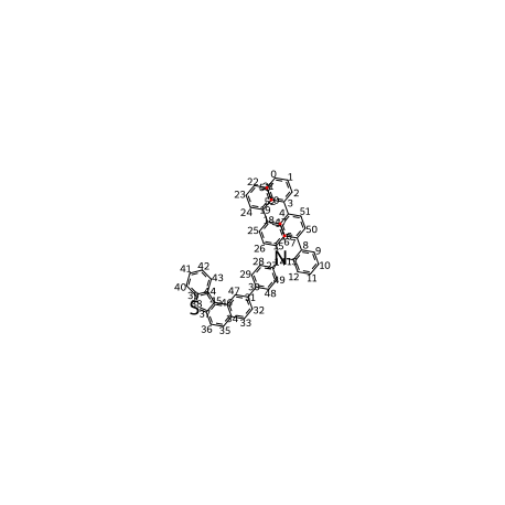 c1ccc(-c2ccc(-c3ccccc3N(c3ccc(-c4ccccc4)cc3)c3ccc(-c4ccc5ccc6sc7ccccc7c6c5c4)cc3)cc2)cc1